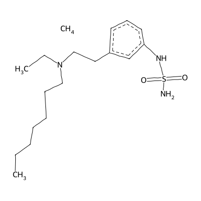 C.CCCCCCCN(CC)CCc1cccc(NS(N)(=O)=O)c1